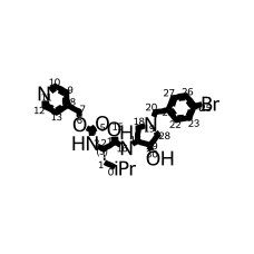 CC(C)C[C@H](NC(=O)OCc1ccncc1)C(=O)NC1CN(Cc2ccc(Br)cc2)CC1O